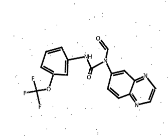 O=CN(C(=O)Nc1cccc(OC(F)(F)F)c1)c1ccc2nccnc2c1